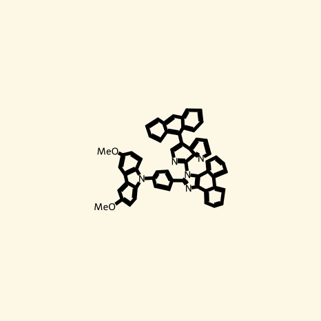 COc1ccc2c(c1)c1cc(OC)ccc1n2-c1ccc(-c2nc3c4ccccc4c4ccccc4c3n2-c2ncc(-c3c4ccccc4cc4ccccc34)c3cccnc23)cc1